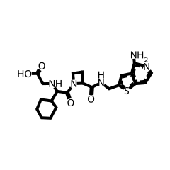 Nc1nccc2sc(CNC(=O)C3CCN3C(=O)C(NCC(=O)O)C3CCCCC3)cc12